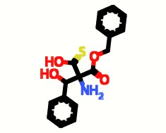 NC(C(=O)OCc1ccccc1)(C(O)=S)C(O)c1ccccc1